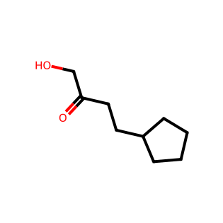 O=C(CO)CCC1CCCC1